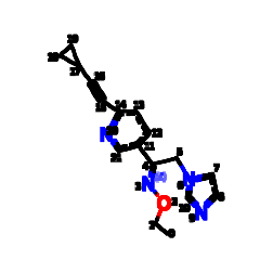 CCO/N=C(\Cn1ccnc1)c1ccc(C#CC2CC2)nc1